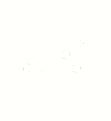 CCCCOc1cc(COC2CNCCC2c2ccc(OCCCOCc3ccccc3OC)cc2)ccc1F